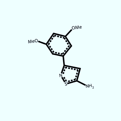 COc1cc(OC)cc(-c2cc(N)sn2)c1